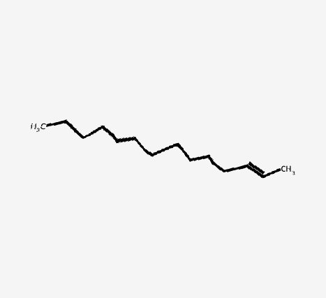 CC=CCCCCCCCCCCC